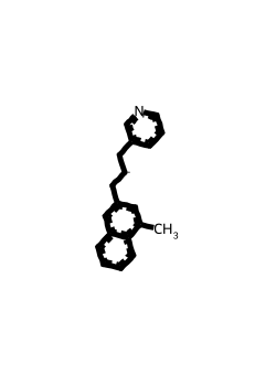 Cc1cc(C[CH]Cc2cccnc2)cc2ccccc12